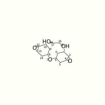 C1CC2OC2CC1OC1CCC2OC2C1.OCCO